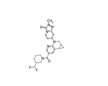 Cn1nc2cc(N3CC4CC4c4cc(C(=O)N5CCCC(C(F)F)C5)cnc43)ccn2c1=O